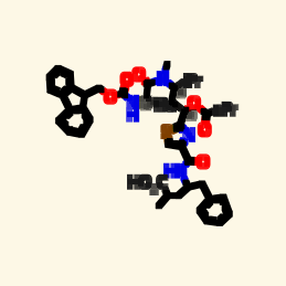 CCCC(=O)O[C@H](C[C@H](C(C)C)N(C)C(=O)[C@@H](NC(=O)OCC1c2ccccc2-c2ccccc21)[C@@H](C)CC)c1nc(C(=O)NC(Cc2ccccc2)CC(C)C(=O)O)cs1